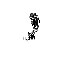 CNc1cccc(CCOc2ccc(C[C@H](NC(=O)c3c(Cl)ccc4c3OCO4)C(=O)O)cc2)n1